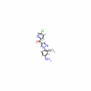 Nc1ccc(-n2cc(C(=O)c3ccc(Cl)cn3)cn2)c([N+](=O)[O-])c1